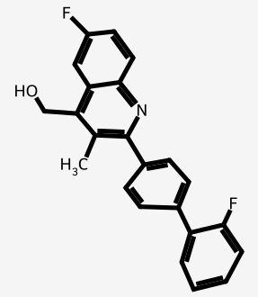 Cc1c(-c2ccc(-c3ccccc3F)cc2)nc2ccc(F)cc2c1CO